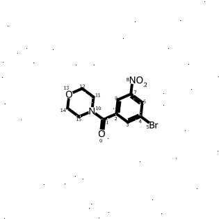 O=C(c1cc(Br)cc([N+](=O)[O-])c1)N1CCOCC1